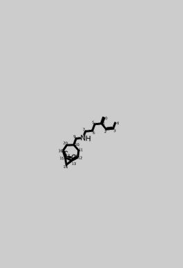 C=C(/C=C\C)CCCNCC1CC2=C3CC3=C(CCC2)C1